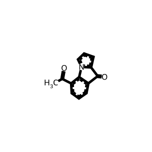 CC(=O)c1cccc2c1-n1cccc1C2=O